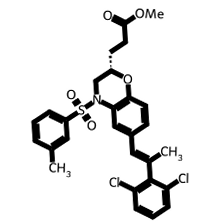 COC(=O)CC[C@H]1CN(S(=O)(=O)c2cccc(C)c2)c2cc(/C=C(\C)c3c(Cl)cccc3Cl)ccc2O1